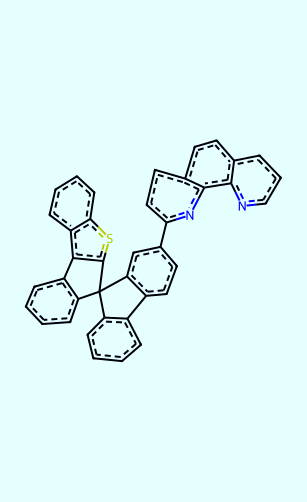 c1ccc2c(c1)-c1ccc(-c3ccc4ccc5cccnc5c4n3)cc1C21c2ccccc2-c2c1sc1ccccc21